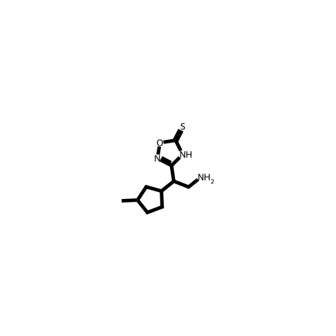 CC1CCC(C(CN)c2noc(=S)[nH]2)C1